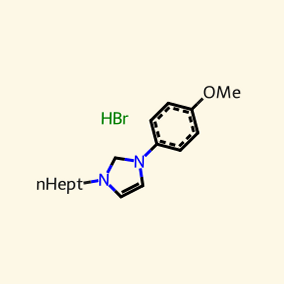 Br.CCCCCCCN1C=CN(c2ccc(OC)cc2)C1